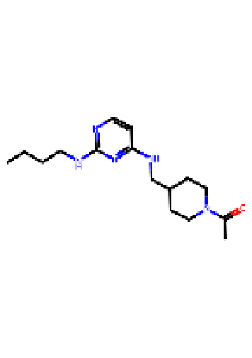 CCCCNc1nccc(NCC2CCN(C(C)=O)CC2)n1